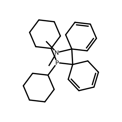 CN(C)C1(C2(P(C3CCCCC3)C3CCCCC3)C=CC=CC2)C=CC=CC1